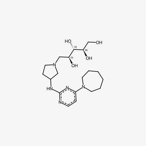 OC[C@@H](O)[C@@H](O)[C@@H](O)CN1CCC(Nc2nccc(N3CCCCCC3)n2)C1